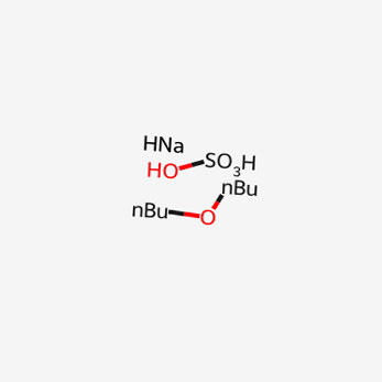 CCCCOCCCC.O=S(=O)(O)O.[NaH]